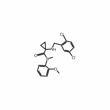 COc1ccccc1N(C)C(=O)C1(NCc2cc(Cl)ccc2Cl)CC1